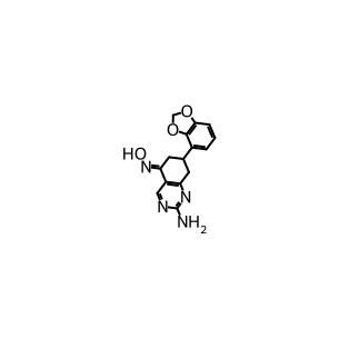 Nc1ncc2c(n1)CC(c1cccc3c1OCO3)CC2=NO